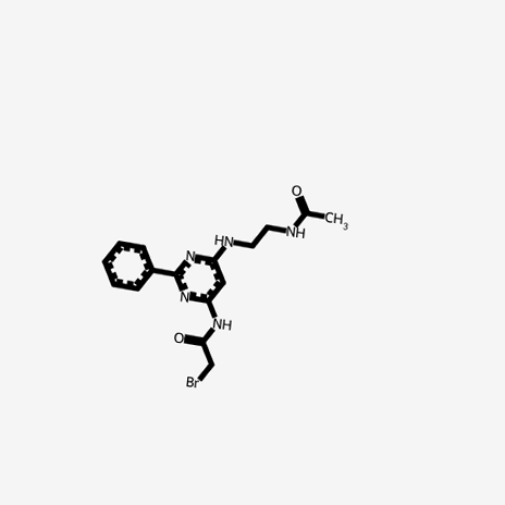 CC(=O)NCCNc1cc(NC(=O)CBr)nc(-c2ccccc2)n1